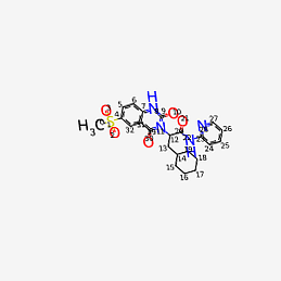 CS(=O)(=O)c1ccc2[nH]c(=O)n(C(CC3CCCCC3)C(=O)Nc3ccccn3)c(=O)c2c1